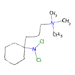 C[N+](C)(C)CCCC1(N(Cl)Cl)CCCCC1